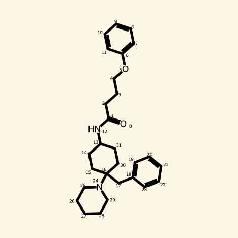 O=C(CCCOc1ccccc1)NC1CCC(Cc2ccccc2)(N2CCCCC2)CC1